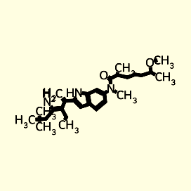 C=C(/C(CC)=C(\N)CC(C)(C)C)c1cc2ccc(N(C)C(=O)C(C)CCCC(C)OC)cc2[nH]1